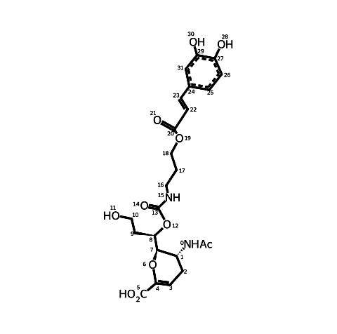 CC(=O)N[C@@H]1CC=C(C(=O)O)O[C@H]1[C@@H](CCO)OC(=O)NCCCOC(=O)/C=C/c1ccc(O)c(O)c1